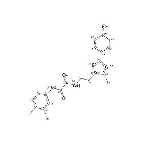 Cc1ccc(NC(=O)C(=O)NCCc2sc(-c3ccc(F)cc3)nc2C)cc1C